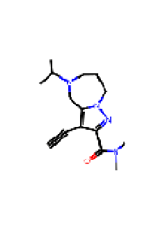 C#Cc1c(C(=O)N(C)C)nn2c1CN(C(C)C)CCC2